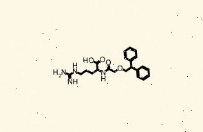 N=C(N)NCCCC(NC(=O)COCC(c1ccccc1)c1ccccc1)C(=O)O